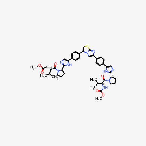 COC(=O)C[C@H](C(=O)N1CCCC1c1ncc(-c2ccc(-c3csc4nc(-c5ccc(-c6cnc([C@@H]7CCCN7C(=O)[C@@H](NC(=O)OC)C(C)C)[nH]6)cc5)cn34)cc2)[nH]1)C(C)C